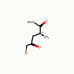 COC(=O)[C@@H](C)CC(=O)CBr